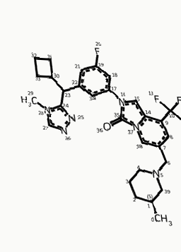 C[C@H]1CCCN(Cc2cc(C(F)(F)F)c3cn(-c4cc(F)cc(C(c5nncn5C)C5CCC5)c4)c(=O)n3c2)C1